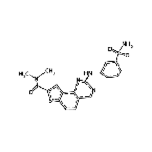 CN(C)C(=O)c1cc2c(ccc3cnc(Nc4cccc(S(N)(=O)=O)c4)nc32)s1